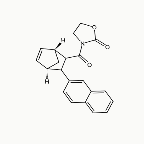 O=C1OCCN1C(=O)C1C(c2ccc3ccccc3c2)[C@H]2C=C[C@H]1C2